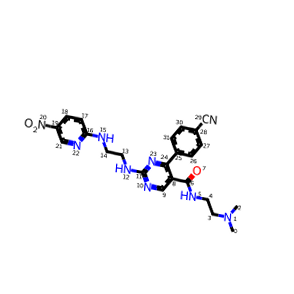 CN(C)CCNC(=O)c1cnc(NCCNc2ccc([N+](=O)[O-])cn2)nc1-c1ccc(C#N)cc1